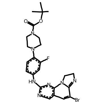 CC(C)(C)OC(=O)N1CCN(c2ccc(Nc3ncc4c(n3)N3CCN=C3C(Br)=C4)cc2F)CC1